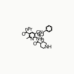 CCCC(=O)c1cc(C#N)c(N(C(=O)C2CCNCC2)S(=O)(=O)CCc2ccccc2)nc1C